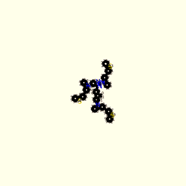 CC1(C)c2cc(-c3nc(-n4c5ccccc5c5cc(-c6ccc7sc8c(c7c6)CCC=C8)ccc54)nc4ccc(-n5c6ccccc6c6cc(-c7ccc8sc9ccccc9c8c7)ccc65)cc34)ccc2-c2ccc(-n3c4ccccc4c4cc(-c5ccc6sc7ccccc7c6c5)ccc43)cc21